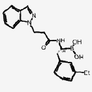 CCc1cccc(C[C@H](NC(=O)CCn2ncc3ccccc32)B(O)O)c1